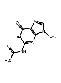 CC(=O)Nc1nc2c(ncn2C)c(=O)[nH]1